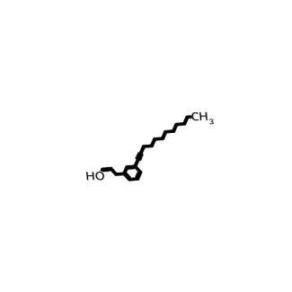 CCCCCCCCCCC#Cc1cccc(C/C=C\O)c1